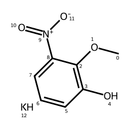 COc1c(O)cccc1[N+](=O)[O-].[KH]